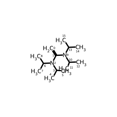 C=C(N(C(C)C)C(C)C)N(C(C)C)C(C)C